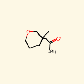 CC(C)(C)C(=O)C1(C)CCCOC1